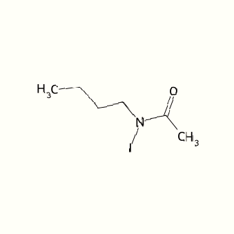 CCCCN(I)C(C)=O